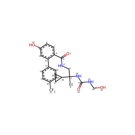 CCC(CNC(=O)c1ccc(O)cc1-c1ccc(C(F)(F)F)cc1)(NC(=O)NCO)C1CC1